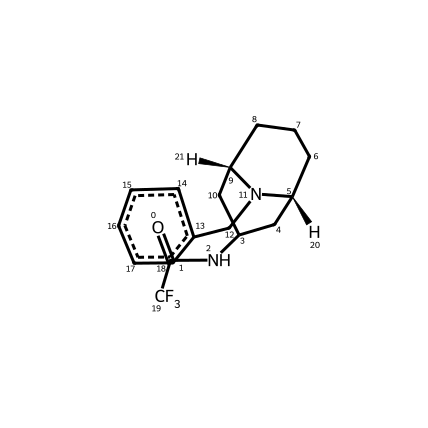 O=C(NC1C[C@H]2CCC[C@@H](C1)N2Cc1ccccc1)C(F)(F)F